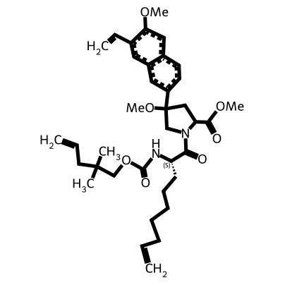 C=CCCCCC[C@H](NC(=O)OCC(C)(C)CC=C)C(=O)N1CC(OC)(c2ccc3cc(OC)c(C=C)cc3c2)CC1C(=O)OC